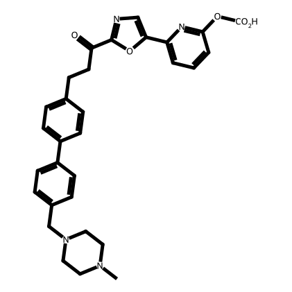 CN1CCN(Cc2ccc(-c3ccc(CCC(=O)c4ncc(-c5cccc(OC(=O)O)n5)o4)cc3)cc2)CC1